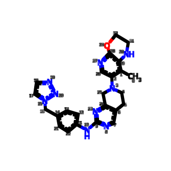 Cc1c(N2CCc3cnc(Nc4ccc(Cn5ccnn5)cc4)nc3C2)cnc2c1NCCO2